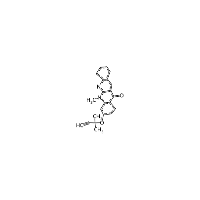 C#CC(C)(C)Oc1ccc2c(=O)c3cc4ccccc4nc3n(C)c2c1